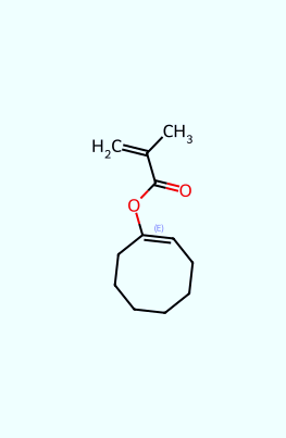 C=C(C)C(=O)O/C1=C/CCCCCC1